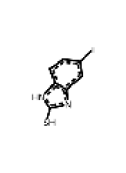 Sc1nc2cc(I)ccc2[nH]1